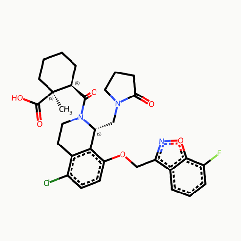 C[C@]1(C(=O)O)CCCC[C@H]1C(=O)N1CCc2c(Cl)ccc(OCc3noc4c(F)cccc34)c2[C@H]1CN1CCCC1=O